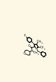 Cc1c(-c2ccc(F)cc2)c(C(=O)N(C)C2CCOCC2)n(Cc2ccccc2)c1C(F)(F)F